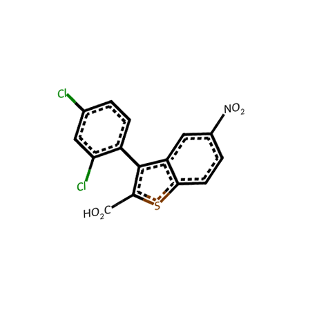 O=C(O)c1sc2ccc([N+](=O)[O-])cc2c1-c1ccc(Cl)cc1Cl